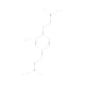 Cl.O=C(O)C=Cc1ccc(C=CC(=O)O)cc1